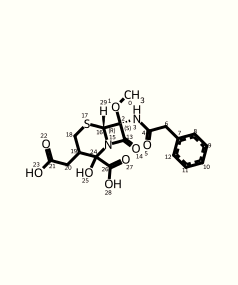 CO[C@@]1(NC(=O)Cc2ccccc2)C(=O)N2[C@@H]1SCC(CC(=O)O)C2(O)C(=O)O